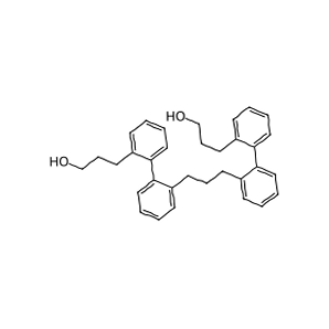 OCCCc1ccccc1-c1ccccc1CCCc1ccccc1-c1ccccc1CCCO